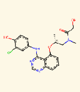 C[C@H](CN(C)C(=O)CO)Oc1cccc2ncnc(Nc3ccc(O)c(Cl)c3)c12